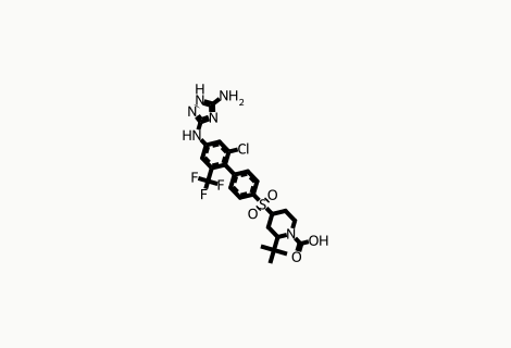 CC(C)(C)C1CC(S(=O)(=O)c2ccc(-c3c(Cl)cc(Nc4n[nH]c(N)n4)cc3C(F)(F)F)cc2)CCN1C(=O)O